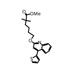 COC(=O)C(C)(C)CCCCOc1cc(-c2cccs2)c2ccccc2n1